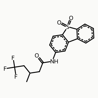 CC(CC(=O)Nc1ccc2c(c1)-c1ccccc1S2(=O)=O)CC(F)(F)F